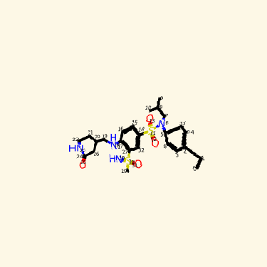 CCc1ccc(N(CC(C)C)S(=O)(=O)c2ccc(NCC3CCNC(=O)C3)c(S(C)(=N)=O)c2)cc1